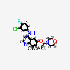 CCC(Oc1cc2c(Nc3ccc(F)c(Cl)c3)ncnc2cc1OC)N1CCOCC1